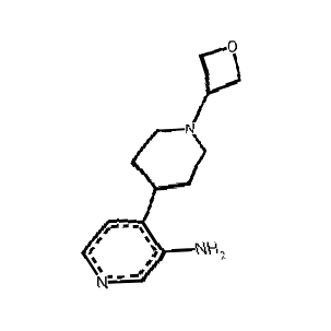 Nc1cnccc1C1CCN(C2COC2)CC1